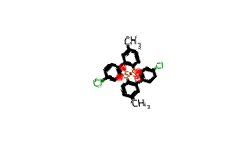 Cc1ccc(S(=O)(=O)S(=O)(=O)c2ccc(C)cc2-c2ccc(Cl)cc2)c(-c2ccc(Cl)cc2)c1